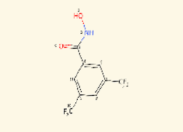 O=C(NO)c1cc(C(F)(F)F)cc(C(F)(F)F)c1